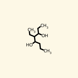 CCCC(O)C(CC)C(O)CC